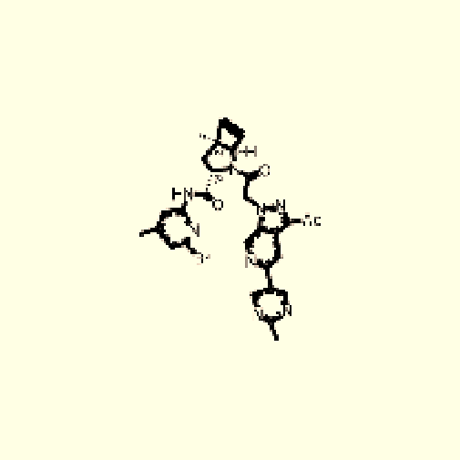 CC(=O)c1nn(CC(=O)N2[C@H](C(=O)Nc3cc(C)cc(Br)n3)C[C@@]3(C)C#C[C@@H]23)c2cnc(-c3cnc(C)nc3)cc12